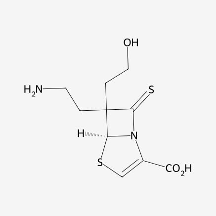 NCCC1(CCO)C(=S)N2C(C(=O)O)=CS[C@H]21